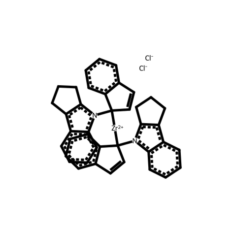 C1=C[C]([Zr+2][C]2(n3c4c(c5ccccc53)CCC4)C=Cc3ccccc32)(n2c3c(c4ccccc42)CCC3)c2ccccc21.[Cl-].[Cl-]